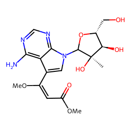 COC(=O)/C=C(/OC)c1cn(C2O[C@H](CO)[C@@H](O)[C@@]2(C)O)c2ncnc(N)c12